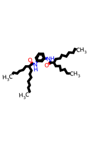 CCCCCCCCC(CCCCCC)C(=O)Nc1c[c]cc(NC(=O)C(CCCCCC)CCCCCCCC)c1